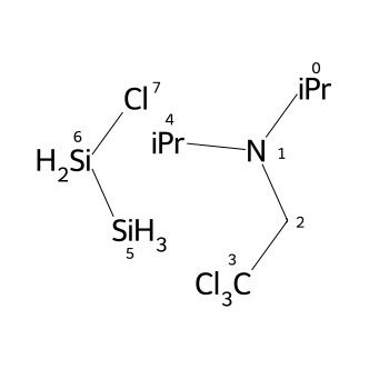 CC(C)N(CC(Cl)(Cl)Cl)C(C)C.[SiH3][SiH2]Cl